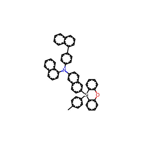 Cc1ccc([Si]2(c3ccc4cc(N(c5ccc(-c6cccc7ccccc67)cc5)c5cccc6ccccc56)ccc4c3)c3ccccc3Oc3ccccc32)cc1